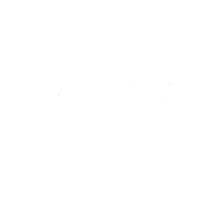 Cc1ncnc(C)c1C(=O)N1CC2CN(CCC(c3ccccc3)C3CN(C(=O)C4CCCC4)C3)CC2C1